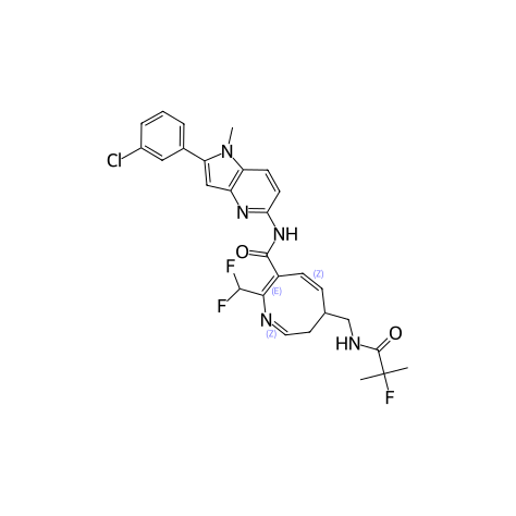 Cn1c(-c2cccc(Cl)c2)cc2nc(NC(=O)C3=C(C(F)F)/N=C\CC(CNC(=O)C(C)(C)F)/C=C\3)ccc21